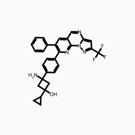 NC1(c2ccc(-c3nc4c(cnc5cc(C(F)(F)F)nn54)cc3-c3ccccc3)cc2)CC(O)(C2CC2)C1